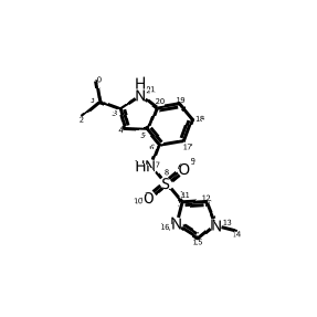 CC(C)c1cc2c(NS(=O)(=O)c3cn(C)cn3)cccc2[nH]1